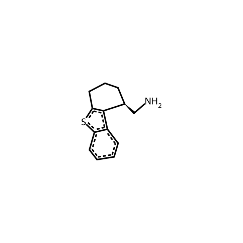 NC[C@@H]1CCCc2sc3ccccc3c21